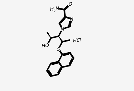 CC(Sc1cccc2ccccc12)[C@@H]([C@H](C)O)n1cnc(C(N)=O)c1.Cl